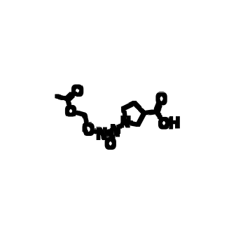 CC(=O)OCOn1on1N1CCC(C(=O)O)C1